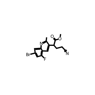 COC(=O)C(CCC#N)c1cc2c(F)cc(Br)cc2nc1C